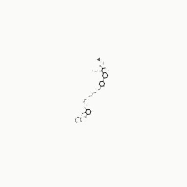 CNc1c(C(=O)NC2CC2)cnc2cc(C(F)(F)F)c(-c3ccc(C(=O)NCCCCNC(=O)[C@H](C)NCc4cccc5c4C(=O)N(C4CCC(=O)NC4=O)C5=O)c(F)c3)cc12